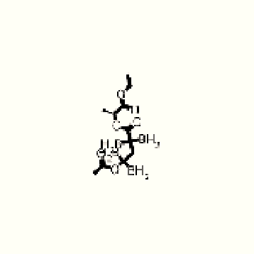 BC(B)(CC(B)(B)C(=O)O[C@@H](C)C(=O)OCC)OC(C)=O